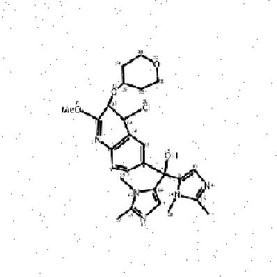 COC1=Nc2ccc(C(O)(c3cnc(C)n3C)c3cnc(C)n3C)cc2C(Cl)C1OC1CCOCC1